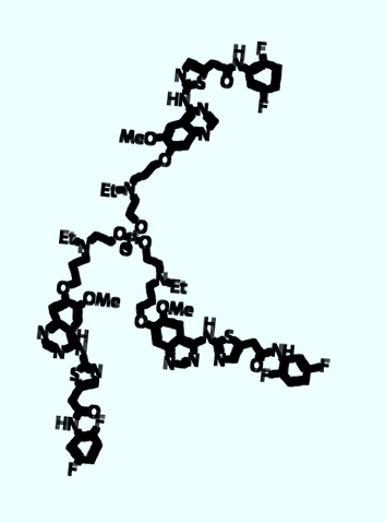 CCN(CCCOc1cc2ncnc(Nc3ncc(CC(=O)Nc4cc(F)ccc4F)s3)c2cc1OC)CCOP(=O)(OCCN(CC)CCCOc1cc2ncnc(Nc3ncc(CC(=O)Nc4cc(F)ccc4F)s3)c2cc1OC)OCCN(CC)CCCOc1cc2ncnc(Nc3ncc(CC(=O)Nc4cc(F)ccc4F)s3)c2cc1OC